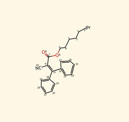 CC(C)CCCCCOC(=O)C(C#N)=C(c1ccccc1)c1ccccc1